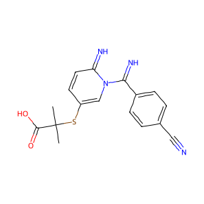 CC(C)(Sc1ccc(=N)n(C(=N)c2ccc(C#N)cc2)c1)C(=O)O